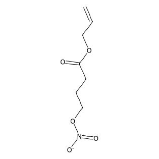 C=CCOC(=O)CCCO[N+](=O)[O-]